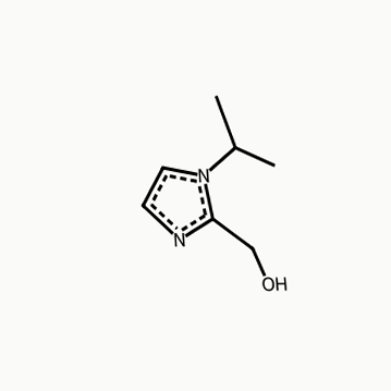 CC(C)n1ccnc1CO